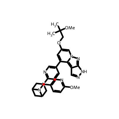 COc1ccc(CN2C3CC2CN(c2ccc(-c4cc(OCC(C)(C)OC)cn5nc6[nH]ncc6c45)cn2)C3)cn1